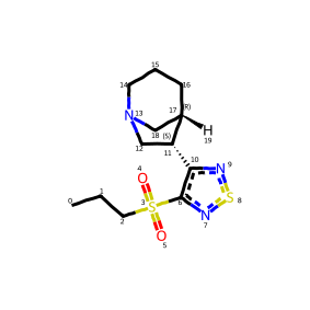 CCCS(=O)(=O)c1nsnc1[C@@H]1CN2CCC[C@H]1C2